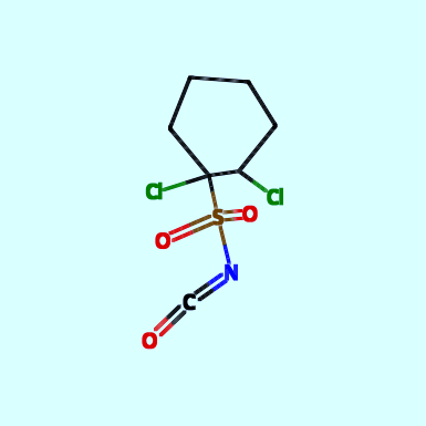 O=C=NS(=O)(=O)C1(Cl)CCCCC1Cl